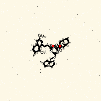 COc1cc(CCc2nc(OC[C@@]34CCCN3C[C@H](F)C4)nc(N3CC4CCC(C3)N4C(=O)OC(C)(C)C)n2)c2c(O)c(F)ccc2c1